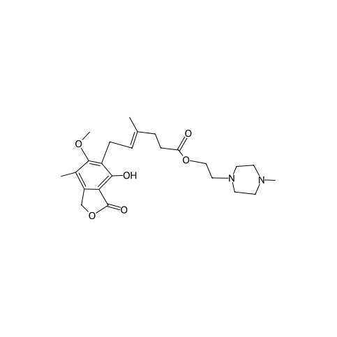 COc1c(C)c2c(c(O)c1C/C=C(\C)CCC(=O)OCCN1CCN(C)CC1)C(=O)OC2